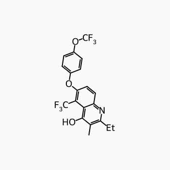 CCc1nc2ccc(Oc3ccc(OC(F)(F)F)cc3)c(C(F)(F)F)c2c(O)c1C